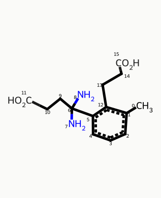 Cc1cccc(C(N)(N)CCC(=O)O)c1CCC(=O)O